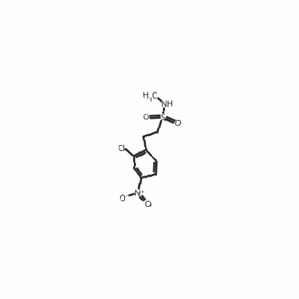 CNS(=O)(=O)CCc1ccc([N+](=O)[O-])cc1Cl